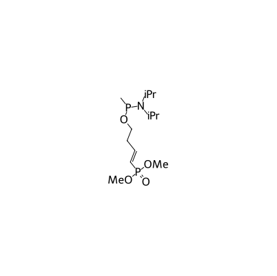 COP(=O)(/C=C/CCOP(C)N(C(C)C)C(C)C)OC